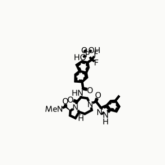 CNC(=O)[C@@H]1CC[C@@H]2CCN(C(=O)c3n[nH]c4ccc(C)cc34)CC(NC(=O)c3ccc4ccc(C(F)(F)P(=O)(O)O)cc4c3)C(=O)N21